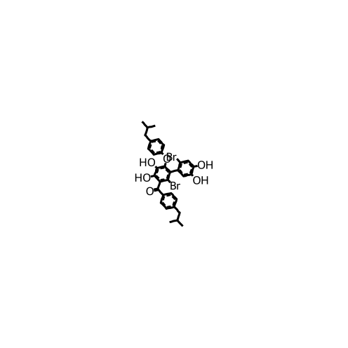 CC(C)Cc1ccc(Oc2c(O)c(O)c(C(=O)c3ccc(CC(C)C)cc3)c(Br)c2-c2cc(O)c(O)cc2Br)cc1